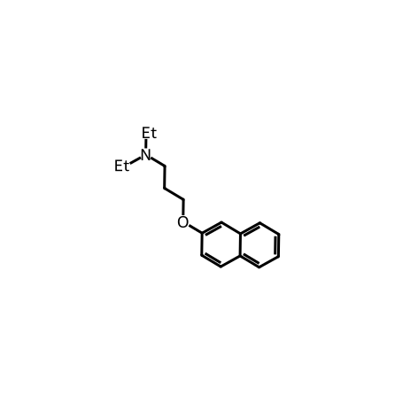 CCN(CC)CCCOc1ccc2ccccc2c1